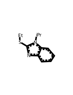 CCSc1nc2ccccc2n1C(C)C